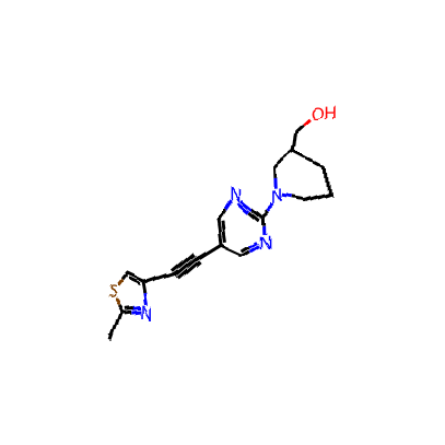 Cc1nc(C#Cc2cnc(N3CCCC(CO)C3)nc2)cs1